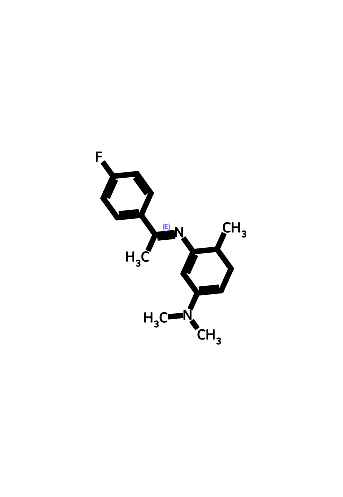 C/C(=N\C1=CC(N(C)C)=CCC1C)c1ccc(F)cc1